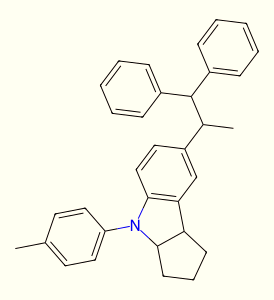 Cc1ccc(N2c3ccc(C(C)C(c4ccccc4)c4ccccc4)cc3C3CCCC32)cc1